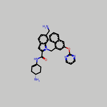 NCc1ccc2cc(C(=O)NC3=CC[C@@H](N)CC3)n(Cc3cc(Oc4ncccn4)cc4ccccc34)c2c1